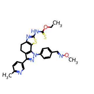 CCOC(=S)Nc1nc2c(s1)-c1c(c(-c3ccc(C)nc3)nn1-c1ccc(C=NOC)cc1)CC2